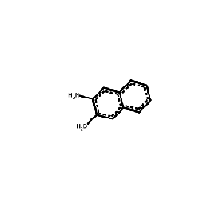 Bc1cc2ccccc2cc1N